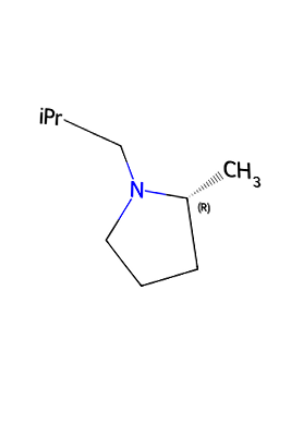 CC(C)CN1CCC[C@H]1C